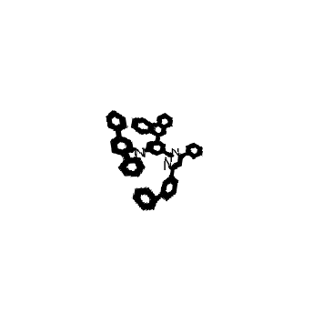 c1ccc(-c2cccc(-c3cc(-c4ccccc4)nc(-c4cc(-c5cc6ccccc6c6ccccc56)cc(-n5c6ccccc6c6ccc(-c7ccccc7)cc65)c4)n3)c2)cc1